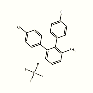 F[B-](F)(F)F.[SH2+]c1cccc(-c2ccc(Cl)cc2)c1-c1ccc(Cl)cc1